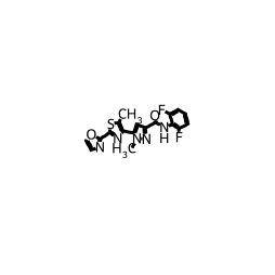 Cc1sc(-c2ncco2)nc1-c1cc(C(=O)Nc2c(F)cccc2F)nn1C